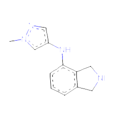 Cn1cc(Nc2cccc3c2CNC3)cn1